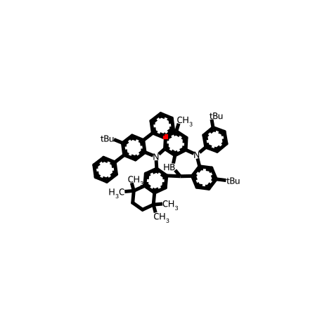 Cc1cc2c3c(c1)N(c1cc(-c4ccccc4)c(C(C)(C)C)cc1-c1ccccc1)c1cc4c(cc1C(B3)c1ccc(C(C)(C)C)cc1N2c1cccc(C(C)(C)C)c1)C(C)(C)CCC4(C)C